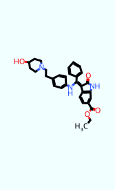 CCOC(=O)c1ccc2c(c1)NC(=O)C2=C(Nc1ccc(CCN2CCC(O)CC2)cc1)c1ccccc1